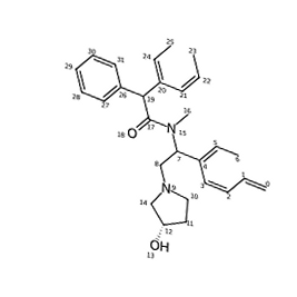 C=C/C=C\C(=C/C)C(CN1CC[C@H](O)C1)N(C)C(=O)C(C(/C=C\C)=C/C)c1ccccc1